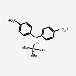 CCCC[PH](CCCC)(CCCC)CCCC.O=C(O)c1ccc(Sc2ccc(C(=O)O)cc2)cc1